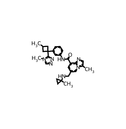 Cc1cnc2c(C(=O)Nc3cccc(C4(c5nncn5C)CC(C)C4)c3)cc(CNC3(C)CC3)cn12